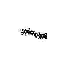 Cc1c(Cl)c(Cl)c2c(c1Cl)C(=O)n1c-2nc2cc(-c3ccc4c(c3)nc3n4C(=O)c4c(Cl)c(Cl)c(Cl)c(Cl)c4-3)ccc21